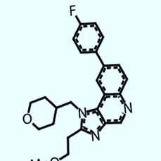 COCCc1nc2cnc3ccc(-c4ccc(F)cc4)cc3c2n1CC1CCOCC1